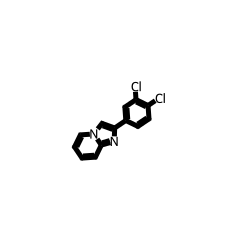 Clc1ccc(-c2cn3ccccc3n2)cc1Cl